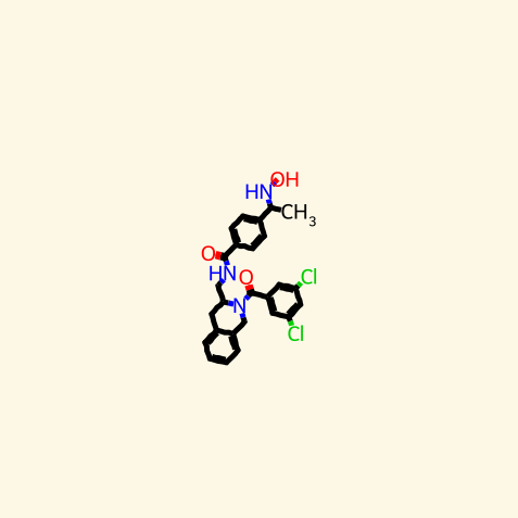 CC(NO)c1ccc(C(=O)NCC2Cc3ccccc3CN2C(=O)c2cc(Cl)cc(Cl)c2)cc1